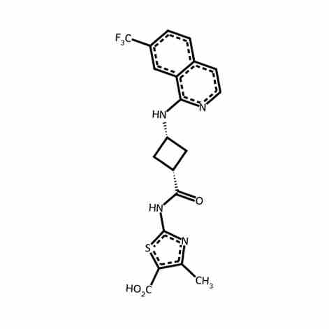 Cc1nc(NC(=O)[C@H]2C[C@@H](Nc3nccc4ccc(C(F)(F)F)cc34)C2)sc1C(=O)O